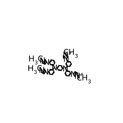 Cn1cc[n+](-c2cccc(N(c3ccc(N(c4cccc(-n5cc[n+](C)c5)c4)c4cccc(-n5cc[n+](C)c5)c4)cc3)c3cccc(-[n+]4ccn(C)c4)c3)c2)c1